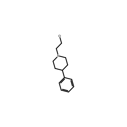 [O]CCN1CCC(c2ccccc2)CC1